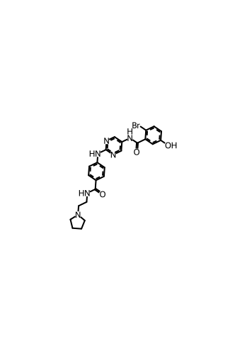 O=C(NCCN1CCCC1)c1ccc(Nc2ncc(NC(=O)c3cc(O)ccc3Br)cn2)cc1